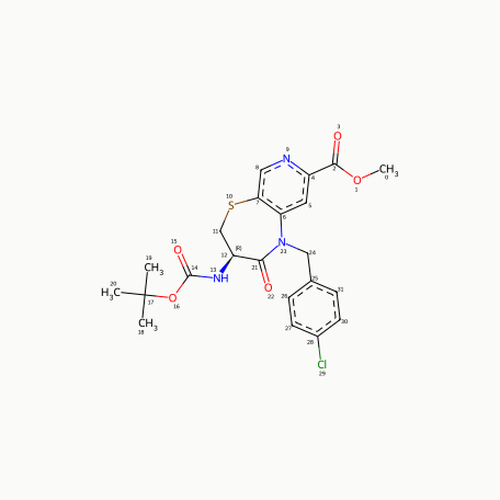 COC(=O)c1cc2c(cn1)SC[C@H](NC(=O)OC(C)(C)C)C(=O)N2Cc1ccc(Cl)cc1